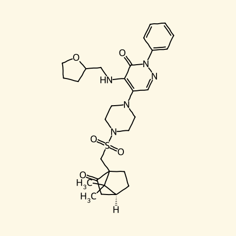 CC1(C)[C@H]2CCC1(CS(=O)(=O)N1CCN(c3cnn(-c4ccccc4)c(=O)c3NCC3CCCO3)CC1)C(=O)C2